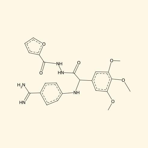 COc1cc(C(Nc2ccc(C(=N)N)cc2)C(=O)NNC(=O)c2ccco2)cc(OC)c1OC